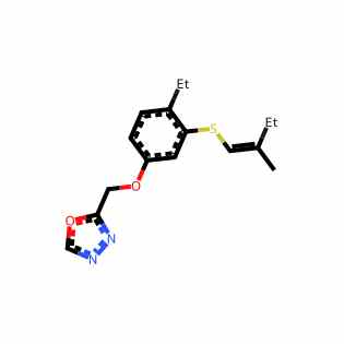 CC/C(C)=C\Sc1cc(OCc2nnco2)ccc1CC